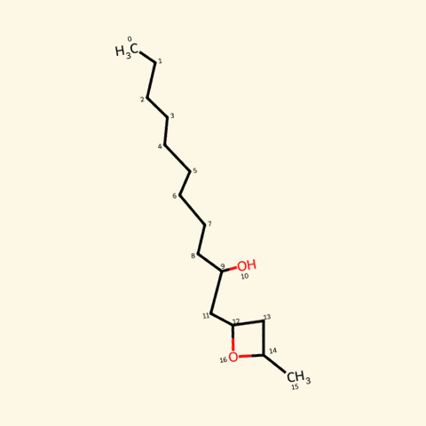 CCCCCCCCCC(O)CC1CC(C)O1